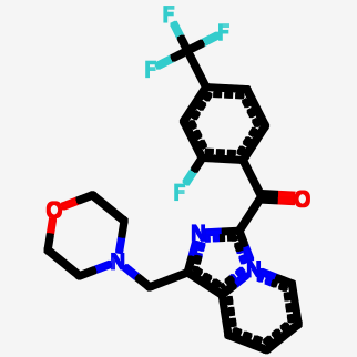 O=C(c1ccc(C(F)(F)F)cc1F)c1nc(CN2CCOCC2)c2ccccn12